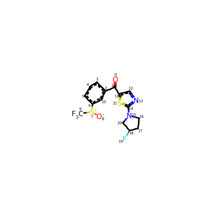 O=C(c1cccc([S+]([O-])C(F)(F)F)c1)c1cnc(N2CC[C@@H](F)C2)s1